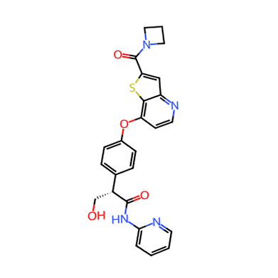 O=C(Nc1ccccn1)[C@H](CO)c1ccc(Oc2ccnc3cc(C(=O)N4CCC4)sc23)cc1